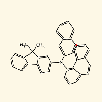 CC1(C)c2ccccc2-c2ccc(N(c3ccc4ccccc4c3)c3cccc4ccc5ccccc5c34)cc21